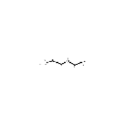 CC(C)COCCC=O